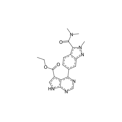 CCOC(=O)c1c[nH]c2ncnc(-c3ccc4c(C(=O)N(C)C)n(C)nc4c3)c12